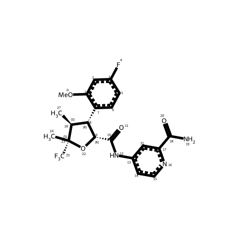 COc1cc(F)ccc1[C@@H]1[C@H](C(=O)Nc2ccnc(C(N)=O)c2)O[C@](C)(C(F)(F)F)[C@H]1C